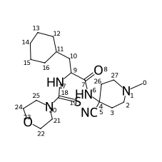 CN1CCC(C#N)(NC(=O)C(CC2CCCCC2)NC(=S)N2CCOCC2)CC1